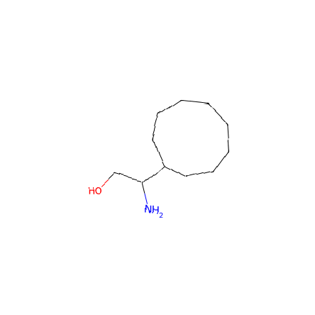 NC(CO)C1CCCCCCCC1